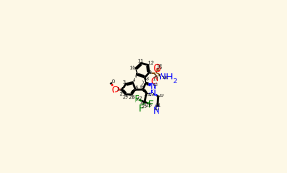 COc1ccc(-c2c(-c3ccccc3S(N)(=O)=O)nn(CC#N)c2C(F)(F)F)cc1